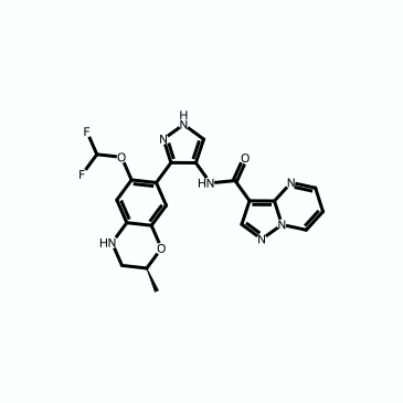 C[C@H]1CNc2cc(OC(F)F)c(-c3n[nH]cc3NC(=O)c3cnn4cccnc34)cc2O1